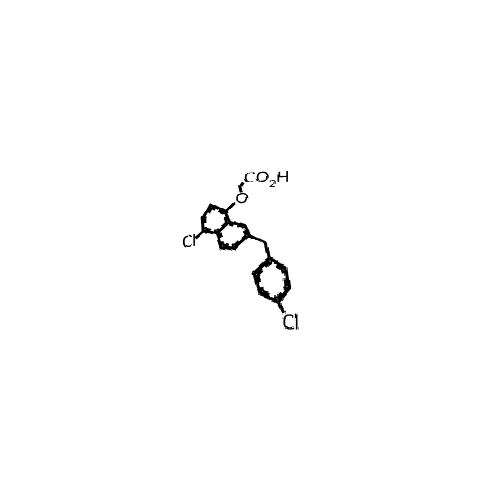 O=C(O)COc1ccc(Cl)c2ccc(Cc3ccc(Cl)cc3)cc12